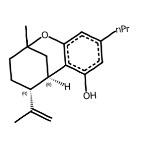 C=C(C)[C@@H]1CCC2(C)C[C@H]1c1c(O)cc(CCC)cc1O2